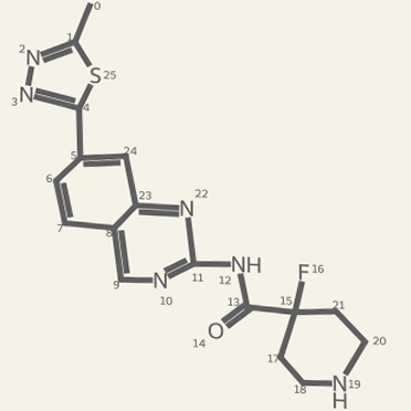 Cc1nnc(-c2ccc3cnc(NC(=O)C4(F)CCNCC4)nc3c2)s1